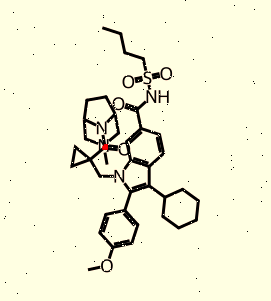 CCCCS(=O)(=O)NC(=O)c1ccc2c(C3CCCCC3)c(-c3ccc(OC)cc3)n(CC3(C(=O)N4C5CCC4CN(C)C5)CC3)c2c1